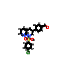 O=Cc1ccc(C(CNS(=O)(=O)c2ccc(Cl)cc2)Cc2cccnc2)cc1